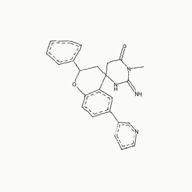 CN1C(=N)NC2(CC1=O)CC(c1ccccc1)Oc1ccc(-c3cccnc3)cc12